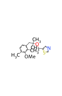 COc1c(C)ccc(CC(C)(C)OCc2cncs2)c1C